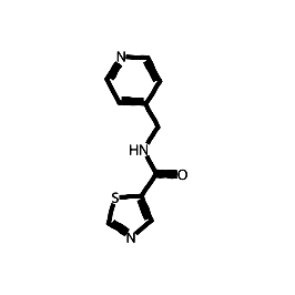 O=C(NCc1ccncc1)c1cncs1